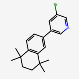 CC1(C)CCC(C)(C)c2cc(-c3cncc(Br)c3)ccc21